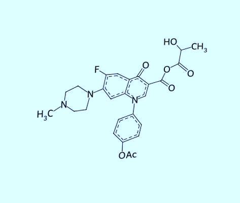 CC(=O)Oc1ccc(-n2cc(C(=O)OC(=O)C(C)O)c(=O)c3cc(F)c(N4CCN(C)CC4)cc32)cc1